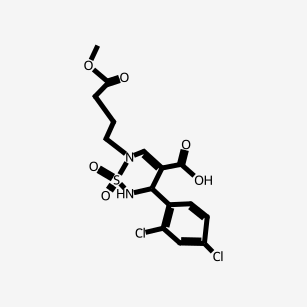 COC(=O)CCCN1C=C(C(=O)O)C(c2ccc(Cl)cc2Cl)NS1(=O)=O